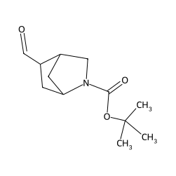 CC(C)(C)OC(=O)N1CC2CC1CC2C=O